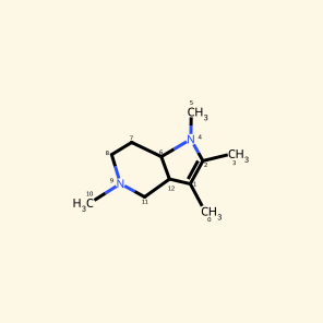 CC1=C(C)N(C)C2CCN(C)CC12